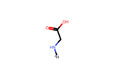 [2H]NCC(=O)O